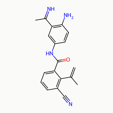 C=C(C)c1c(C#N)cccc1C(=O)Nc1ccc(N)c(C(C)=N)c1